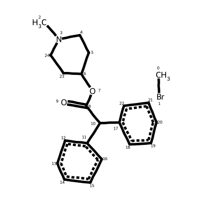 CBr.CN1CCC(OC(=O)C(c2ccccc2)c2ccccc2)CC1